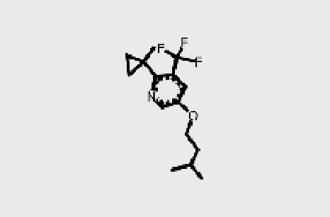 CC(C)CCOc1cnc(C2(C)CC2)c(C(F)(F)F)c1